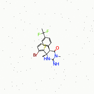 CN1C(=N)N[C@](C)(c2sccc2Br)[C@@H](c2ccc(C(C)(F)F)cc2)C1=O